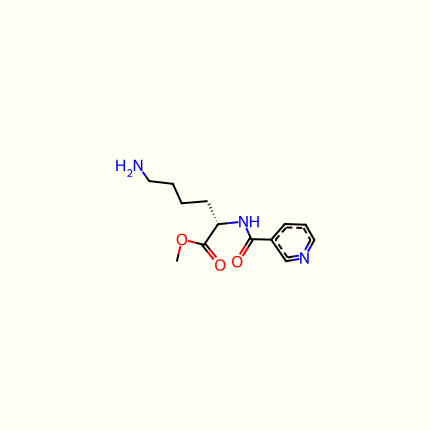 COC(=O)[C@H](CCCCN)NC(=O)c1cccnc1